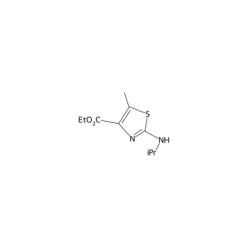 CCOC(=O)c1nc(NC(C)C)sc1C